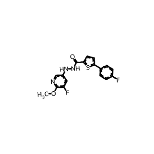 COc1ncc(NNC(=O)c2ccc(-c3ccc(F)cc3)s2)cc1F